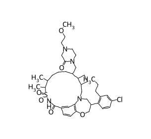 CCCc1cc(Cl)ccc1C1COc2ccc3cc2N(C1)CC1CCC1C(CN1CCN(CCOC)CC1=O)CCCC(C)C(C)S(=O)(=O)NC3=O